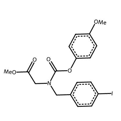 COC(=O)CN(Cc1ccc(I)cc1)C(=O)Oc1ccc(OC)cc1